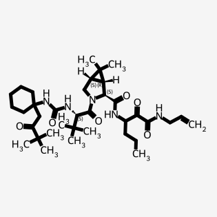 C=CCNC(=O)C(=O)C(CCC)NC(=O)[C@@H]1[C@@H]2[C@H](CN1C(=O)[C@@H](NC(=O)NC1(CC(=O)C(C)(C)C)CCCCC1)C(C)(C)C)C2(C)C